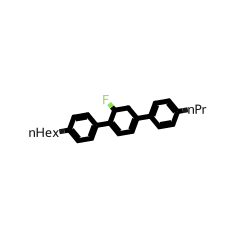 CCCCCCc1ccc(C2=CC=C(c3ccc(CCC)cc3)CC2F)cc1